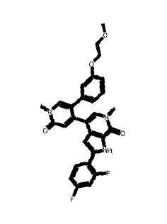 COCCOc1cccc(-c2cn(C)c(=O)cc2-c2cn(C)c(=O)c3[nH]c(-c4ccc(F)cc4F)cc23)c1